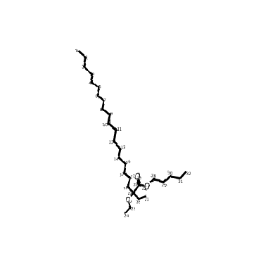 CCCCCCCCCCCCCCCCCCCC(CC)(OCC)C(=O)OCCCCC